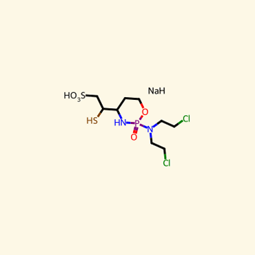 O=P1(N(CCCl)CCCl)NC(C(S)CS(=O)(=O)O)CCO1.[NaH]